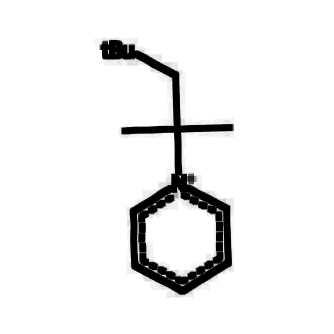 CC(C)(C)CC(C)(C)[n+]1ccccc1